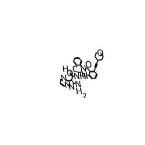 C[C@@H](NC(=O)c1c(N)nn2cccnc12)c1nc2cccc(C#CC3CCOCC3)c2c(=O)n1-c1ccccc1